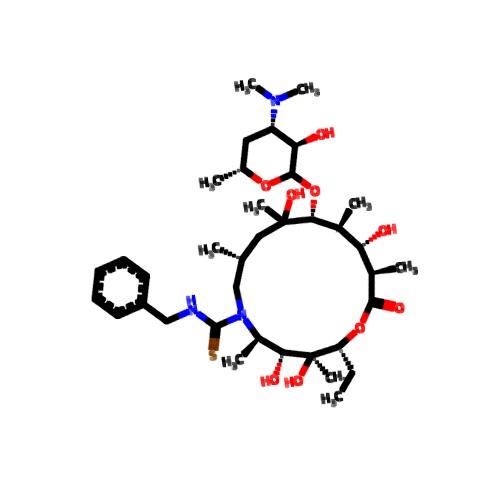 CC[C@H]1OC(=O)[C@H](C)[C@@H](O)[C@H](C)[C@@H](OC2O[C@H](C)C[C@H](N(C)C)[C@H]2O)C(C)(O)C[C@@H](C)CN(C(=S)NCc2ccccc2)[C@H](C)[C@@H](O)[C@]1(C)O